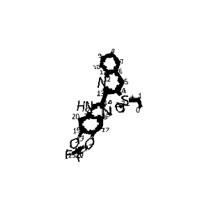 CC[S+]([O-])c1cc2ccccc2nc1-c1nc2cc3c(cc2[nH]1)OC(F)(F)O3